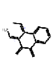 C=c1c(=C)c2ccccc2c(=C/C)/c1=C\P